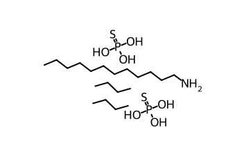 CCCC.CCCC.CCCCCCCCCCCCN.OP(O)(O)=S.OP(O)(O)=S